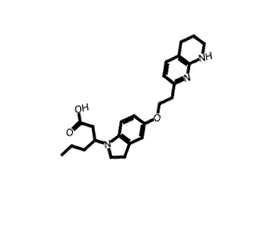 CCCC(CC(=O)O)N1CCc2cc(OCCc3ccc4c(n3)NCCC4)ccc21